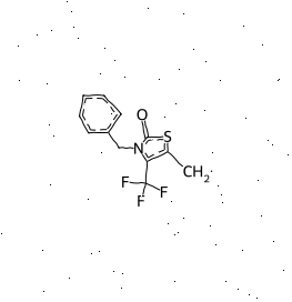 [CH2]c1sc(=O)n(Cc2ccccc2)c1C(F)(F)F